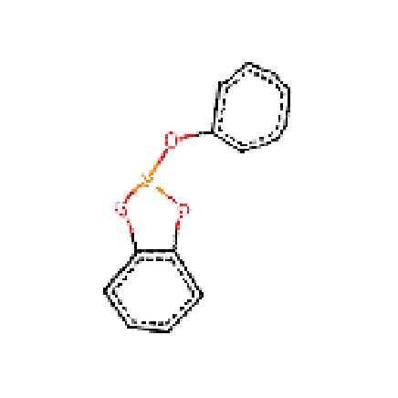 c1ccc(OP2Oc3ccccc3O2)cc1